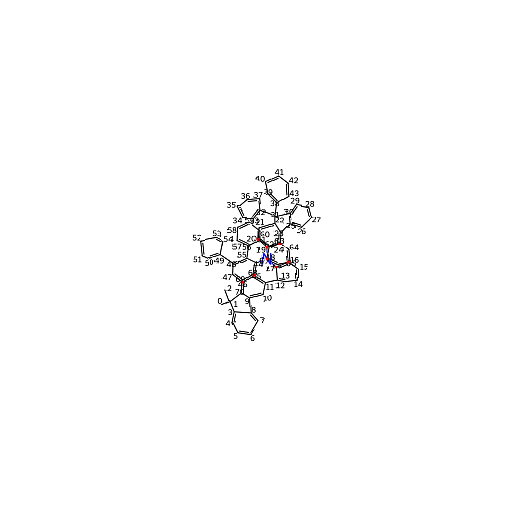 CC1(C)c2ccccc2-c2cc(-c3ccccc3N(c3ccc4c(c3)-c3ccccc3C4(c3ccccc3)c3ccccc3)c3cccc(-c4ccccc4)c3-c3ccccc3-c3ccccc3)ccc21